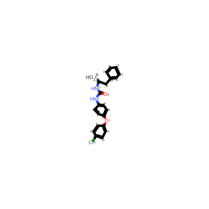 O=C(Nc1ccc(Oc2ccc(Cl)cc2)cc1)NC(Cc1ccccc1)C(=O)O